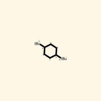 CC(C)(C)C1[CH]CC(C(C)(C)C)[CH]C1